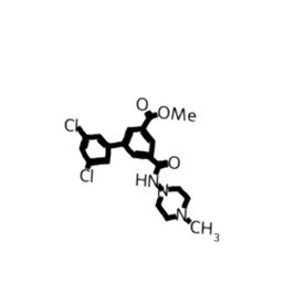 COC(=O)c1cc(C(=O)NN2CCN(C)CC2)cc(-c2cc(Cl)cc(Cl)c2)c1